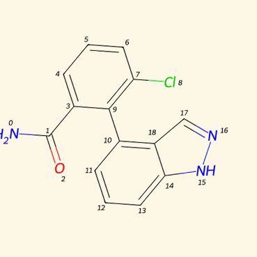 NC(=O)c1cccc(Cl)c1-c1cccc2[nH]ncc12